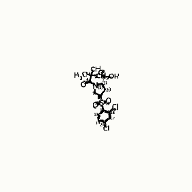 CC(C)(C)C(=O)N1C[C@H](S(=O)(=O)c2ccc(Cl)cc2Cl)C[C@H]1C(=O)O